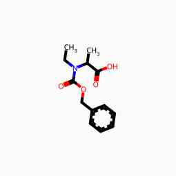 CCN(C(=O)OCc1ccccc1)C(C)C(=O)O